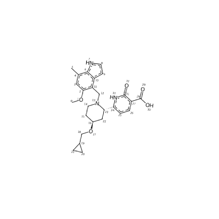 COc1cc(C)c2[nH]ccc2c1CN1CC[C@H](OCC2CC2)C[C@H]1c1ccc(C(=O)O)c(=O)[nH]1